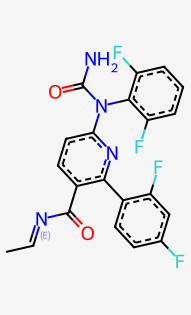 C/C=N/C(=O)c1ccc(N(C(N)=O)c2c(F)cccc2F)nc1-c1ccc(F)cc1F